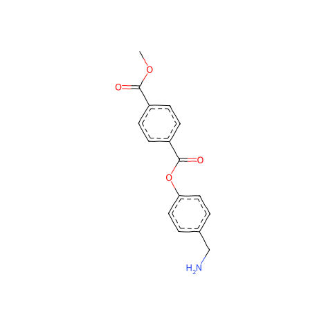 COC(=O)c1ccc(C(=O)Oc2ccc(CN)cc2)cc1